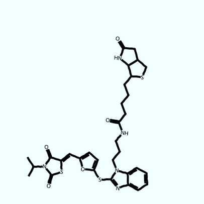 CC(C)N1C(=O)S/C(=C\c2ccc(Sc3nc4ccccc4n3CCCNC(=O)CCCCC3SCC4CC(=O)NC43)o2)C1=O